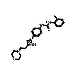 Cc1ccccc1NC(=O)Nc1ccc(-n2cc(CCN3CCOCC3)[nH]2)cc1